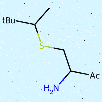 CC(=O)C(N)CSC(C)C(C)(C)C